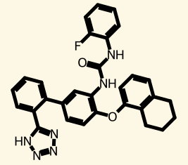 O=C(Nc1ccccc1F)Nc1cc(-c2ccccc2-c2nnn[nH]2)ccc1Oc1cccc2c1CCCC2